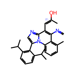 C=Nc1c(/C=C(\C)O)c2ncc(-c3c(C(C)C)cccc3C(C)C)n2c2cccc(C)c12